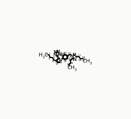 CCCCCc1ccn(-c2ccc(Cn3nc(CCCC)nc3CCCC)cc2)c1-c1nnn[nH]1